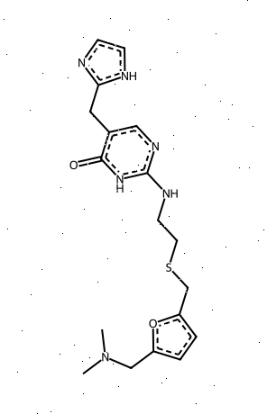 CN(C)Cc1ccc(CSCCNc2ncc(Cc3ncc[nH]3)c(=O)[nH]2)o1